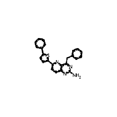 Nc1nc(Cc2ccccc2)c2nc(-c3ccc(-c4ccccc4)s3)ccc2n1